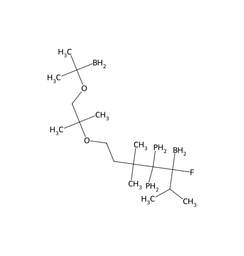 BC(C)(C)OCC(C)(C)OCCC(C)(C)C(P)(P)C(B)(F)C(C)C